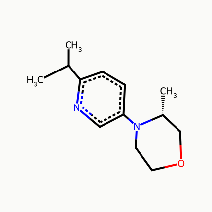 CC(C)c1ccc(N2CCOC[C@H]2C)cn1